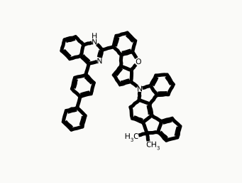 CC1(C)C2=CCC3C(=C2c2ccccc21)c1ccccc1N3C1=CC=C2c3c(cccc3C3=NC(c4ccc(-c5ccccc5)cc4)=C4C=CC=CC4N3)OC21